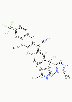 COc1nc2ccc(C(O)(c3cnc(C)n3C)c3cnc(C)n3C)cc2c(C#N)c1Cc1ccc(C(F)(F)F)cc1